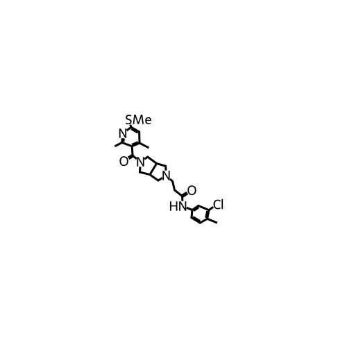 CSc1cc(C)c(C(=O)N2CC3CN(CCC(=O)Nc4ccc(C)c(Cl)c4)CC3C2)c(C)n1